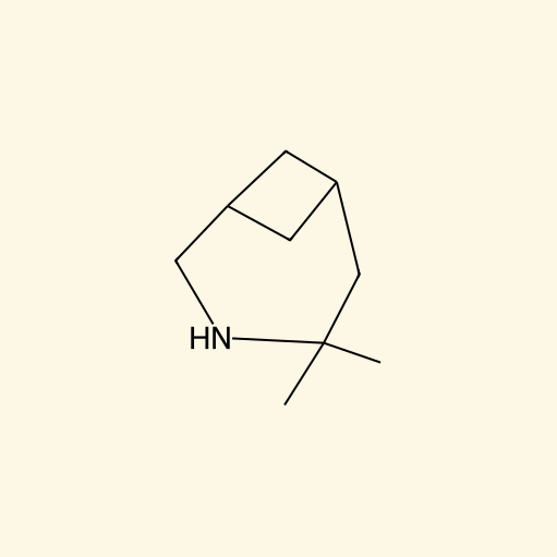 CC1(C)CC2CC(CN1)C2